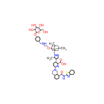 Cc1c(-c2ccc(N3CCc4cccc(C(=O)Nc5nc6ccccc6s5)c4C3)nc2C(=O)O)cnn1CC12CC3(C)CC(C)(C1)CC(OCCNCc1ccc(O[C@@H]4O[C@H](CO)[C@@H](O)[C@@H](O)[C@H]4O)cc1)(C3)C2